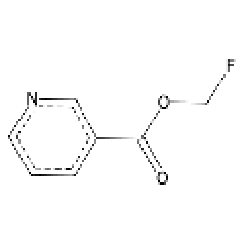 O=C(OCF)c1cccnc1